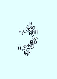 CCCn1c(=O)[nH]c(=O)c2[nH]c(CC[C@@H](c3ccc(N(CCOC)C(=O)c4ccc(C(F)(F)F)nc4)nc3)N3CCCC3=O)nc21